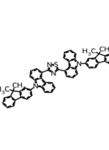 CC1(C)c2ccccc2-c2ccc(-n3c4ccccc4c4c(-c5nsc(-c6cccc7c6c6ccccc6n7-c6ccc7c(c6)C(C)(C)c6ccccc6-7)n5)cccc43)cc21